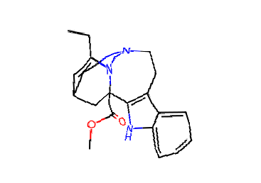 CCC1=CC2CN3CCc4c([nH]c5ccccc45)C(C(=O)OC)(C2)N13